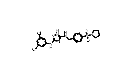 O=S(=O)(c1ccc(CNc2nc(Nc3cc(Cl)cc(Cl)c3)n[nH]2)cc1)N1CCCC1